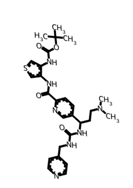 CN(C)CCC(NC(=O)NCc1ccncc1)c1ccc(C(=O)Nc2cscc2NC(=O)OC(C)(C)C)nc1